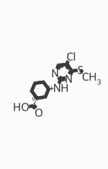 CSc1nc(N[C@H]2CCC[C@@H](C(=O)O)C2)ncc1Cl